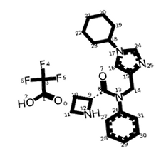 O=C(O)C(F)(F)F.O=C([C@H]1CCN1)N(Cc1cn(C2CCCCC2)cn1)c1ccccc1